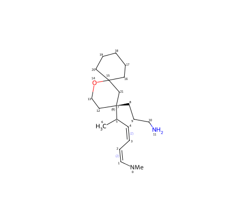 CN/C=C\C=C/C(C)[C@]1(CCCN)CCOC2(CCCCC2)C1